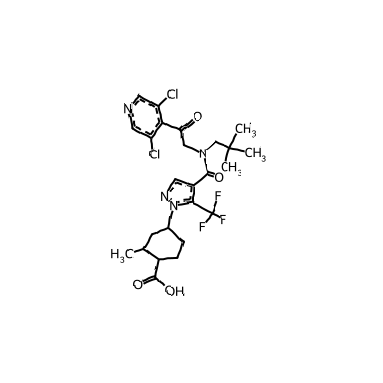 CC1CC(n2ncc(C(=O)N(CC(=O)c3c(Cl)cncc3Cl)CC(C)(C)C)c2C(F)(F)F)CCC1C(=O)O